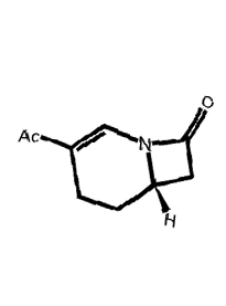 CC(=O)C1=CN2C(=O)C[C@@H]2CC1